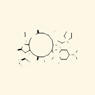 CC[C@@H]1OC(=O)[C@H](C)[C@H](O)[C@H](C)[C@@H](O[C@@H]2O[C@H](C)C[C@H](N(C)C)[C@H]2O[Si](CC)(CC)CC)[C@](C)(OC)C[C@@H](C)C(=O)[C@H](C)[C@H]2[C@H](/C(N)=N/O)C(=O)O[C@@]21C